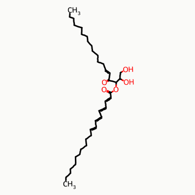 CCCCCCCCCCCC=CC=CC=CC=CC(=O)OC(C(=O)C=CCCCCCCCCCCCCC)C(O)CO